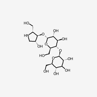 OC[C@H]1NC[C@@H](O)[C@@H]1O[C@H]1O[C@H](CO)[C@@H](O[C@@H]2O[C@H](CO)[C@@H](O)C(O)[C@H]2O)[C@H](O)[C@H]1O